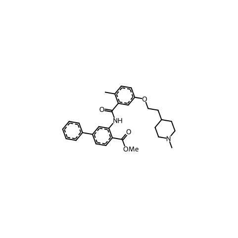 COC(=O)c1ccc(-c2ccccc2)cc1NC(=O)c1cc(OCCC2CCN(C)CC2)ccc1C